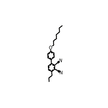 CCCCCCCOc1ccc(-c2ccc(CCC)c(C#N)c2C#N)cc1